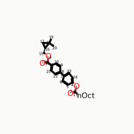 CCCCCCCCC(=O)Oc1ccc(-c2ccc(C(=O)OC[C@H]3CC3(C)C)cc2)cc1